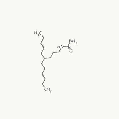 CCCCCCC(CCCCC)CCCNC(N)=O